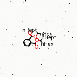 CCCCCCCC(CCCCCC)OC(=O)c1ccccc1C(=O)OC(CCCCCC)CCCCCCC